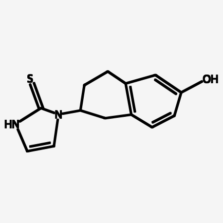 Oc1ccc2c(c1)CCC(n1cc[nH]c1=S)C2